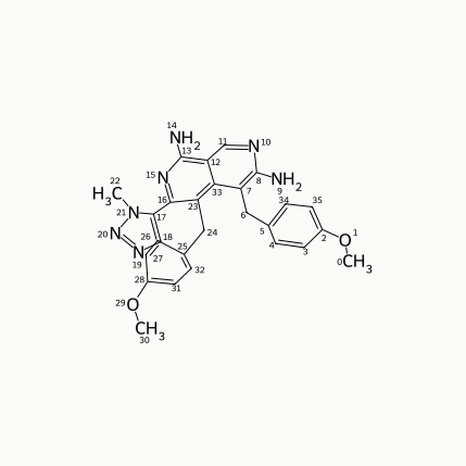 COc1ccc(Cc2c(N)ncc3c(N)nc(-c4cnnn4C)c(Cc4ccc(OC)cc4)c23)cc1